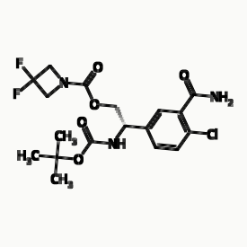 CC(C)(C)OC(=O)N[C@H](COC(=O)N1CC(F)(F)C1)c1ccc(Cl)c(C(N)=O)c1